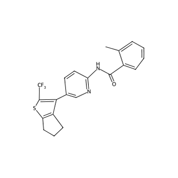 Cc1ccccc1C(=O)Nc1ccc(-c2c(C(F)(F)F)sc3c2CCC3)cn1